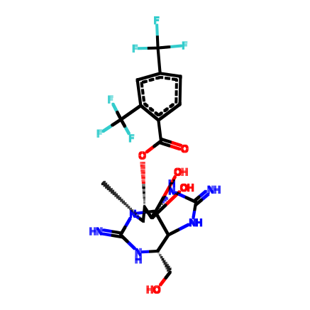 C[C@H]1[C@H](OC(=O)c2ccc(C(F)(F)F)cc2C(F)(F)F)C(O)(O)[C@]23NC(=N)NC2[C@H](CO)NC(=N)N13